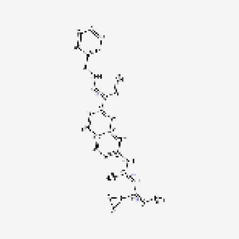 N=C/C(=C\NCc1cccnc1)c1cnc2ccc(N/C(N)=C/C(=C\N)C3CC3)nc2c1